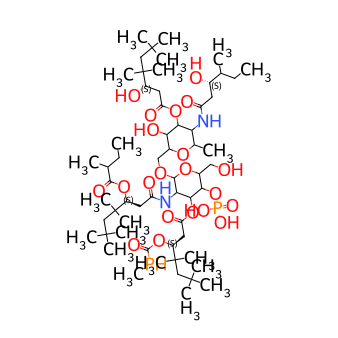 CCC(C)C(=O)O[C@@H](CC(=O)NC1C(OCC2OC(C)C(NC(=O)C[C@H](O)C(C)CC)C(OC(=O)C[C@H](O)C(C)(C)CC(C)(C)C)C2O)OC(CO)C(OP(=O)(O)O)C1OC(=O)C[C@H](OC(=O)PC)C(C)(C)CC(C)(C)C)C(C)(C)CC(C)(C)C